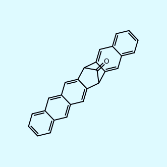 O=C1C2c3cc4ccccc4cc3C1c1cc3cc4ccccc4cc3cc12